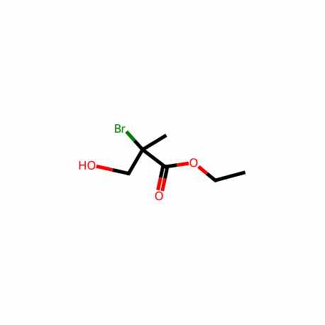 CCOC(=O)C(C)(Br)CO